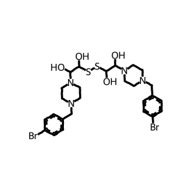 OC(SSC(O)C(O)N1CCN(Cc2ccc(Br)cc2)CC1)C(O)N1CCN(Cc2ccc(Br)cc2)CC1